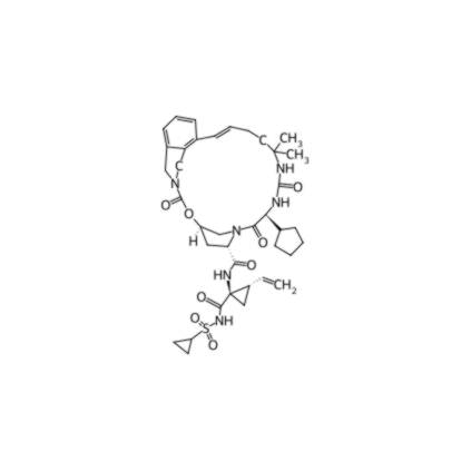 C=C[C@@H]1C[C@]1(NC(=O)[C@@H]1C[C@@H]2CN1C(=O)[C@H](C1CCCC1)NC(=O)NC(C)(C)CC/C=C/c1cccc3c1CN(C3)C(=O)O2)C(=O)NS(=O)(=O)C1CC1